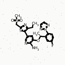 CCc1nc(CS(C)(=O)=O)sc1-c1cnc(N)c(O[C@H](C)c2cc(F)ccc2-n2nccn2)c1